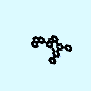 C=C/C=C(\C=C/Cc1nc(C2=CCCC=C2)nc(-c2cccc3oc4c(-c5ccc6ccc7ccccc7c6c5)cccc4c23)n1)c1ccccc1